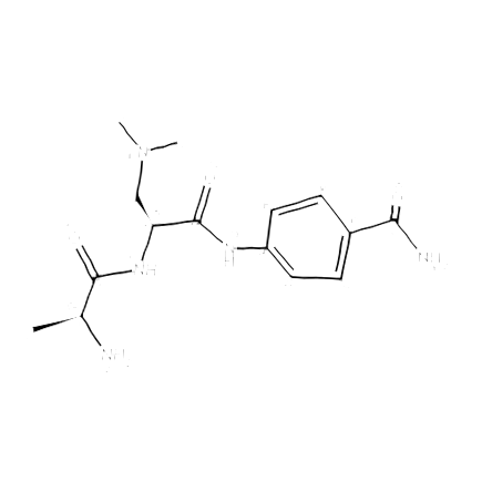 C[C@H](N)C(=O)N[C@@H](CN(C)C)C(=O)Nc1ccc(C(N)=O)cc1